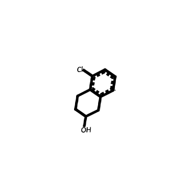 OC1CCc2c([c]ccc2Cl)C1